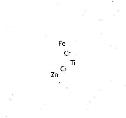 [Cr].[Cr].[Fe].[Ti].[Zn]